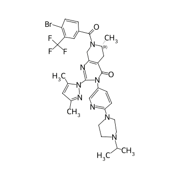 Cc1cc(C)n(-c2nc3c(c(=O)n2-c2ccc(N4CCN(C(C)C)CC4)nc2)C[C@@H](C)N(C(=O)c2ccc(Br)c(C(F)(F)F)c2)C3)n1